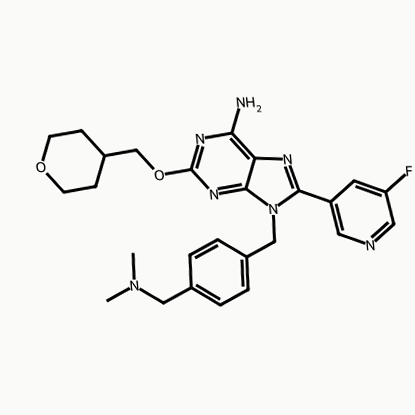 CN(C)Cc1ccc(Cn2c(-c3cncc(F)c3)nc3c(N)nc(OCC4CCOCC4)nc32)cc1